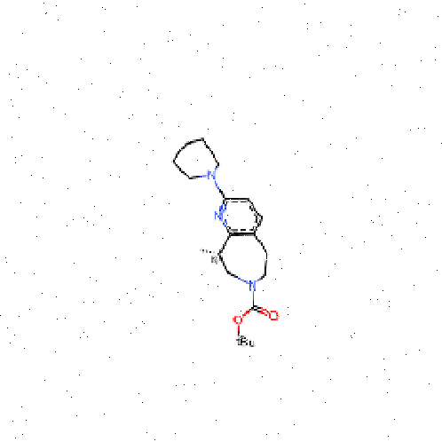 C[C@H]1CN(C(=O)OC(C)(C)C)CCc2ccc(N3CCCCC3)nc21